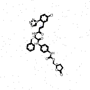 O=C(/C=C/c1cc(Cl)ccc1-n1cnnn1)N[C@@H](Cc1ccccc1)C(=O)Nc1ccc(NC(=O)OC[C@H]2CCC(=O)O2)cc1